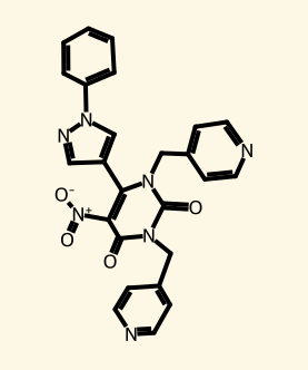 O=c1c([N+](=O)[O-])c(-c2cnn(-c3ccccc3)c2)n(Cc2ccncc2)c(=O)n1Cc1ccncc1